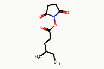 CCC(C)CCC(=O)ON1C(=O)CCC1=O